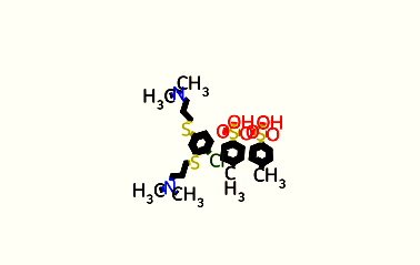 CN(C)CCCSc1ccc(Cl)c(SCCCN(C)C)c1.Cc1ccc(S(=O)(=O)O)cc1.Cc1ccc(S(=O)(=O)O)cc1